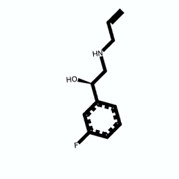 C=CCNC[C@H](O)c1cccc(F)c1